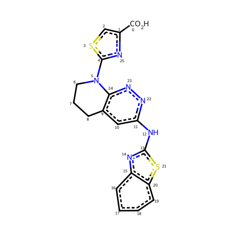 O=C(O)c1csc(N2CCCc3cc(Nc4nc5ccccc5s4)nnc32)n1